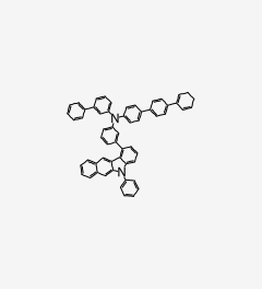 C1=CC(c2ccc(-c3ccc(N(c4cccc(-c5ccccc5)c4)c4cccc(-c5cccc6c5c5cc7ccccc7cc5n6-c5ccccc5)c4)cc3)cc2)=CCC1